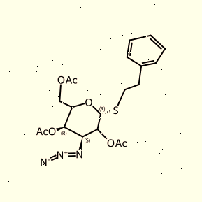 CC(=O)OCC1O[C@H](SCCc2ccccc2)C(OC(C)=O)[C@@H](N=[N+]=[N-])[C@H]1OC(C)=O